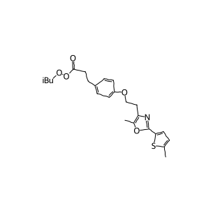 CCC(C)OOC(=O)CCc1ccc(OCCc2nc(-c3ccc(C)s3)oc2C)cc1